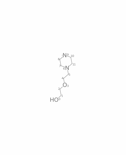 OCCOCCN1CC[N]CC1